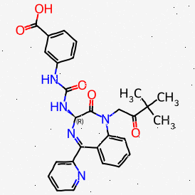 CC(C)(C)C(=O)CN1C(=O)[C@H](NC(=O)Nc2cccc(C(=O)O)c2)N=C(c2ccccn2)c2ccccc21